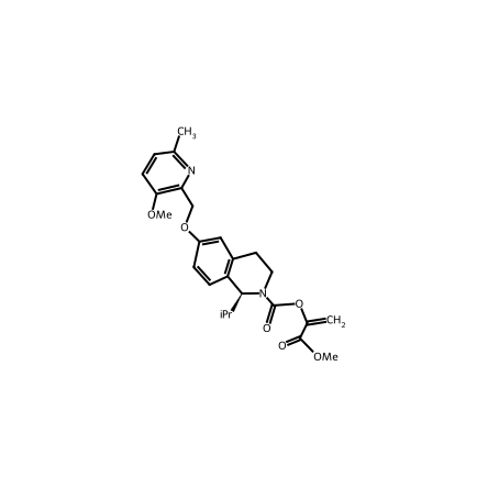 C=C(OC(=O)N1CCc2cc(OCc3nc(C)ccc3OC)ccc2[C@@H]1C(C)C)C(=O)OC